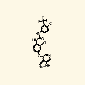 O=C(Nc1ccc(Cl)c(C(F)(F)F)c1)Nc1ccc(ON2C=NC=C3NNC=C32)cc1Cl